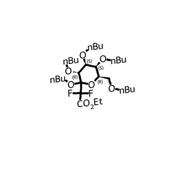 CCCCOC[C@H]1OC(OCCCC)(C(F)(F)C(=O)OCC)[C@H](OCCCC)[C@@H](OCCCC)[C@H]1OCCCC